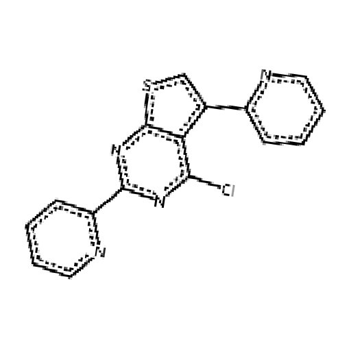 Clc1nc(-c2ccccn2)nc2scc(-c3ccccn3)c12